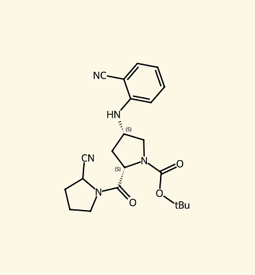 CC(C)(C)OC(=O)N1C[C@@H](Nc2ccccc2C#N)C[C@H]1C(=O)N1CCCC1C#N